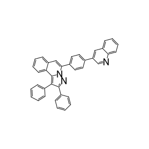 c1ccc(-c2nn3c(-c4ccc(-c5cnc6ccccc6c5)cc4)cc4ccccc4c3c2-c2ccccc2)cc1